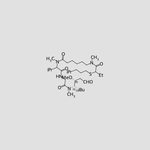 CCC(SCCCC(C)C)C(=O)N(C)CCCCCC(=O)N(C)C(C(=O)NCC(=O)N(C)[C@@H]([C@@H](C)CC)[C@@H](CC=O)OC)C(C)C